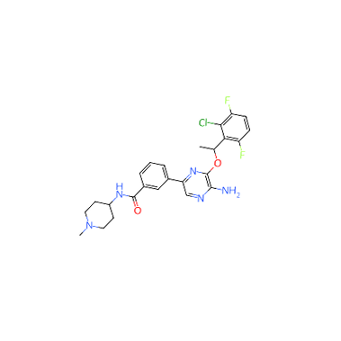 CC(Oc1nc(-c2cccc(C(=O)NC3CCN(C)CC3)c2)cnc1N)c1c(F)ccc(F)c1Cl